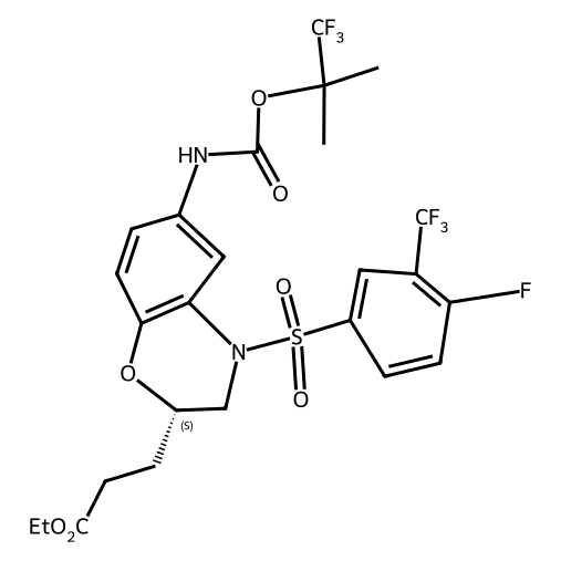 CCOC(=O)CC[C@H]1CN(S(=O)(=O)c2ccc(F)c(C(F)(F)F)c2)c2cc(NC(=O)OC(C)(C)C(F)(F)F)ccc2O1